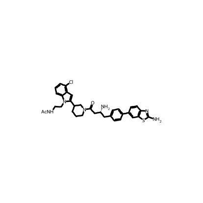 CC(=O)NCCn1c(C2CCCN(C(=O)C[C@H](N)Cc3ccc(-c4ccc5nc(N)sc5c4)cc3)C2)cc2c(Cl)cccc21